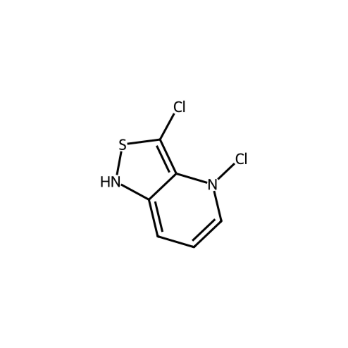 ClC1=C2C(=CC=CN2Cl)NS1